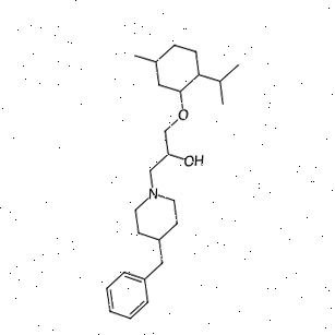 CC1CCC(C(C)C)C(OCC(O)CN2CCC(Cc3ccccc3)CC2)C1